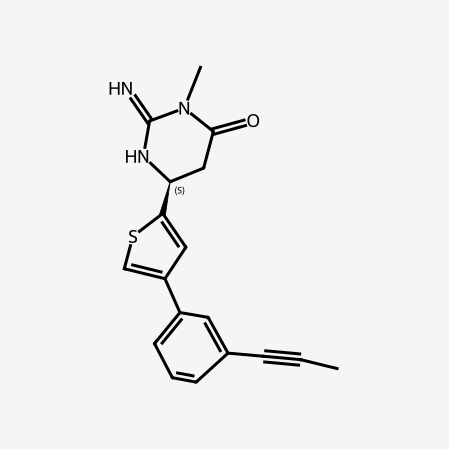 CC#Cc1cccc(-c2csc([C@@H]3CC(=O)N(C)C(=N)N3)c2)c1